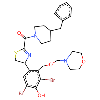 O=C(C1=NC(c2cc(Br)c(O)c(Br)c2COCN2CCOCC2)CS1)N1CCC(Cc2ccccc2)CC1